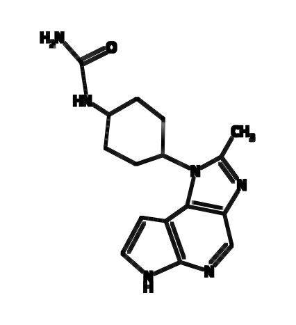 Cc1nc2cnc3[nH]ccc3c2n1C1CCC(NC(N)=O)CC1